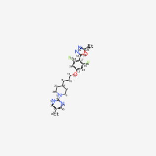 CCc1cnc(N2CCC(CCCOc3cc(F)c(-c4nnc(CC)o4)c(F)c3)CC2)nc1